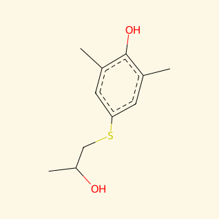 Cc1cc(SCC(C)O)cc(C)c1O